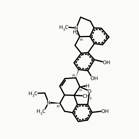 CCN(C)[C@@H]1Cc2ccc(O)c3c2C2(C)C1C=C[C@H](c1cc4c(c(O)c1O)-c1cccc5c1[C@@H](C4)N(C)CC5)[C@@H]2O3